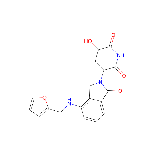 O=C1NC(=O)C(N2Cc3c(NCc4ccco4)cccc3C2=O)CC1O